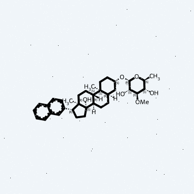 CO[C@H]1[C@H](O)[C@H](O[C@H]2CC[C@@]3(C)[C@H](CC[C@@H]4[C@@H]3CC[C@]3(C)[C@@H](c5ccc6ccccc6c5)CC[C@]43O)C2)O[C@@H](C)[C@@H]1O